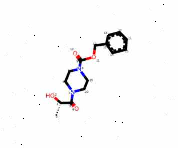 C[C@H](O)C(=O)N1CCN(C(=O)OCc2ccccc2)CC1